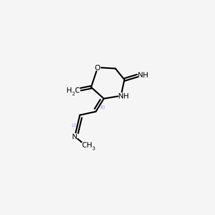 C=C1OCC(=N)N/C1=C/C=N\C